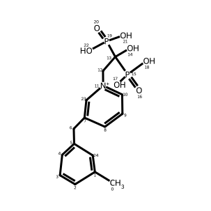 Cc1cccc(Cc2ccc[n+](CC(O)(P(=O)(O)O)P(=O)(O)O)c2)c1